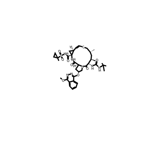 COc1nnc(O[C@@H]2C[C@H]3C(=O)N[C@]4(C(=O)NS(=O)(=O)C5(C)CC5)C[C@H]4C=CCC[C@H](C)C[C@@H](C)[C@H](NC(=O)NC(C)(C)C)C(=O)N3C2)c2ccccc12